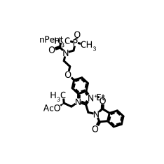 CCCCCC(=O)N(CCOc1ccc2c(c1)n(C[C@H](C)OC(C)=O)c(CN1C(=O)c3ccccc3C1=O)[n+]2CC)CP(C)(C)=O